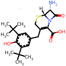 CC(C)(C)c1cc(CC2=C(C(=O)O)N3C(=O)[C@@H](N)[C@H]3SC2)cc(C(C)(C)C)c1O